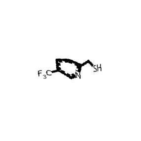 FC(F)(F)c1ccc(CS)nc1